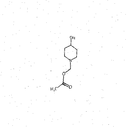 CC(=O)OCN1CCC(O)CC1